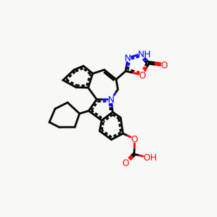 O=C(O)Oc1ccc2c(C3CCCCC3)c3n(c2c1)CC(c1n[nH]c(=O)o1)=Cc1ccccc1-3